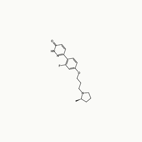 C[C@@H]1CCCN1CCCOc1ccc(-c2ccc(=O)[nH]n2)c(F)c1